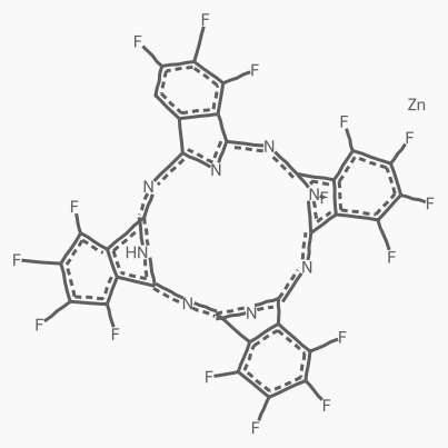 Fc1cc2c(c(F)c1F)-c1nc-2nc2[nH]c(nc3nc(nc4c5c(F)c(F)c(F)c(F)c5c(n1)n4F)-c1c(F)c(F)c(F)c(F)c1-3)c1c(F)c(F)c(F)c(F)c21.[Zn]